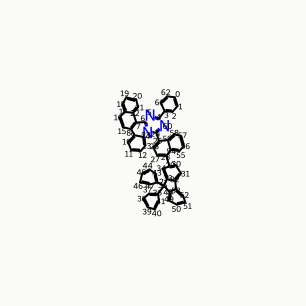 c1ccc(-c2nc(-c3c(-c4ccccc4)ccc4ccccc34)nc(-c3ccc(-c4ccc5c(c4)C(c4ccccc4)(c4ccccc4)c4ccccc4-5)c4ccccc34)n2)cc1